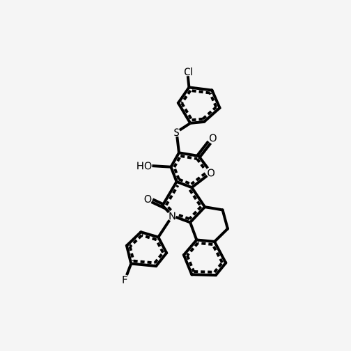 O=c1oc2c3c(n(-c4ccc(F)cc4)c(=O)c2c(O)c1Sc1cccc(Cl)c1)-c1ccccc1CC3